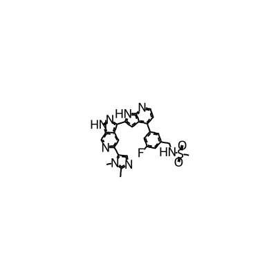 Cc1ncc(-c2cc3c(-c4cc5c(-c6cc(F)cc(CNS(C)(=O)=O)c6)ccnc5[nH]4)n[nH]c3cn2)n1C